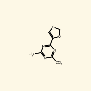 ClC(Cl)(Cl)c1nc(C2=COCO2)nc(C(Cl)(Cl)Cl)n1